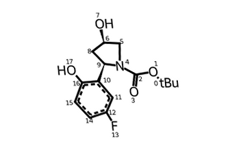 CC(C)(C)OC(=O)N1C[C@H](O)C[C@@H]1c1cc(F)ccc1O